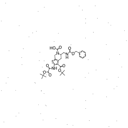 CC(C)(C)OC(=O)C(=O)Nc1sc2c(c1C(=O)OC(C)(C)C)CC(CNC(=O)OCc1ccccc1)N(C(=O)O)C2